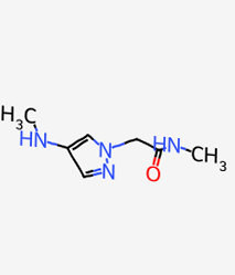 CNC(=O)Cn1cc(NC)cn1